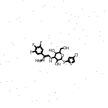 N=N/C(=C\NC1C(O)[C@@H](Sc2cc(Cl)cs2)OC(CO)[C@@H]1O)c1cc(F)c(F)c(F)c1